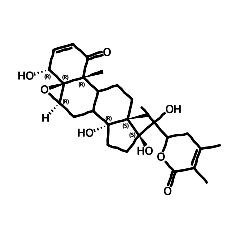 CC1=C(C)C(=O)OC(C(C)(O)[C@]2(O)CC[C@@]3(O)C4C[C@H]5O[C@]56[C@H](O)C=CC(=O)[C@]6(C)C4CC[C@@]32C)C1